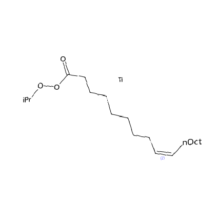 CCCCCCCC/C=C\CCCCCCCC(=O)OOC(C)C.[Ti]